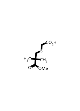 COC(=O)C(C)(C)CSCC(=O)O